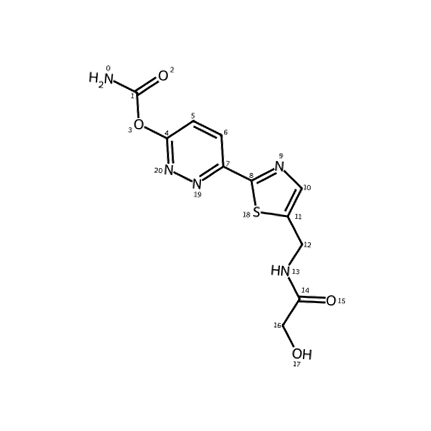 NC(=O)Oc1ccc(-c2ncc(CNC(=O)CO)s2)nn1